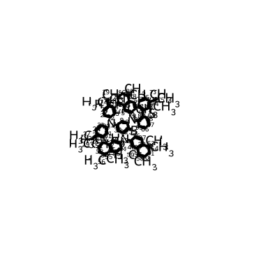 Cc1cc2c(cc1N1c3cc(N(c4ccc(C(C)(C)C)cc4)c4ccc(C(C)(C)C)cc4)cc4c3B(c3cc5c(cc3N4c3ccc4c(c3)C(C)(C)CCC4(C)C)C(C)(C)CCC5(C)C)c3ccc4sc5c(C(C)(C)C)cccc5c4c31)C(C)(C)CCC2(C)C